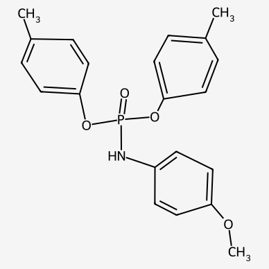 COc1ccc(NP(=O)(Oc2ccc(C)cc2)Oc2ccc(C)cc2)cc1